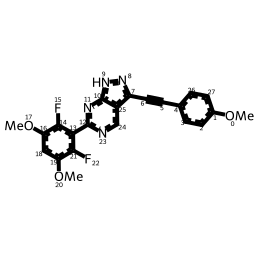 COc1ccc(C#Cc2n[nH]c3nc(-c4c(F)c(OC)cc(OC)c4F)ncc23)cc1